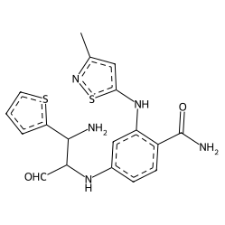 Cc1cc(Nc2cc(NC(C=O)C(N)c3cccs3)ccc2C(N)=O)sn1